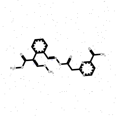 CO/C=C(/C(=O)OC)c1ccccc1/C=N/OC(=O)Cc1nccc(C(C)=O)n1